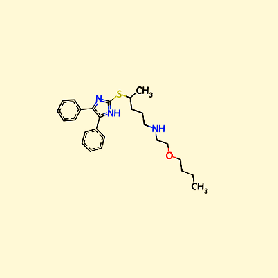 CCCCOCCNCCCC(C)Sc1nc(-c2ccccc2)c(-c2ccccc2)[nH]1